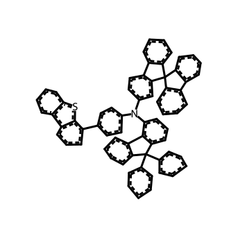 c1ccc(C2(c3ccccc3)c3ccccc3-c3c(N(c4ccc(-c5cccc6c5sc5ccccc56)cc4)c4ccc5c(c4)C4(c6ccccc6-c6ccccc64)c4ccccc4-5)cccc32)cc1